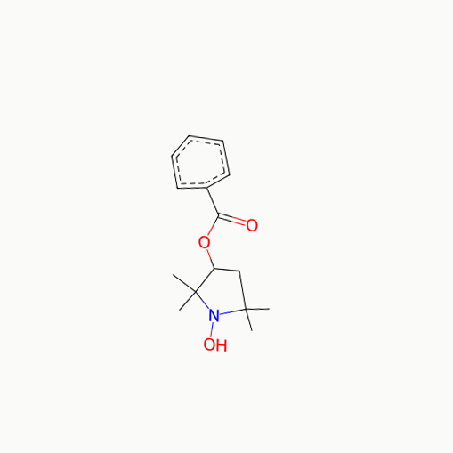 CC1(C)CC(OC(=O)c2ccccc2)C(C)(C)N1O